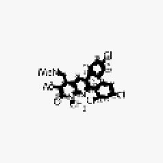 CNCc1c(C(C)=O)c(=O)n(C)c2nc(-c3ccc(Cl)cc3Cl)c(-c3ccc(Cl)cc3)cc12